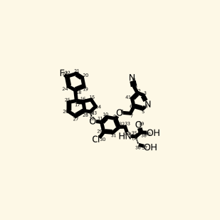 N#Cc1cncc(COc2cc(O[C@H]3CCc4c(-c5cccc(F)c5)cccc43)c(Cl)cc2CN[C@@H](CO)C(=O)O)c1